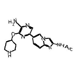 CC(=O)Nc1cn2cc(-c3cnc(N)c(OC4CCNCC4)n3)ccc2n1